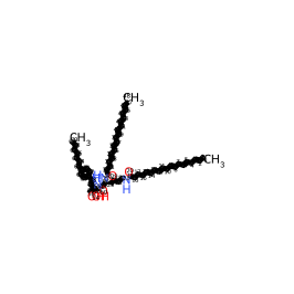 CCC=CCC=CCC=CCC=CCC=CCCCC(=O)NCCCC[C@H](NC(=O)CCCC=CCC=CCC=CCC=CCC=CCC)C(=O)NC(CO)(CO)CCc1ccc(CCCCCCCC)cc1